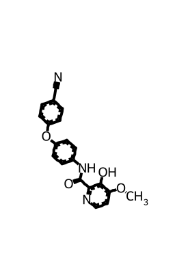 COc1ccnc(C(=O)Nc2ccc(Oc3ccc(C#N)cc3)cc2)c1O